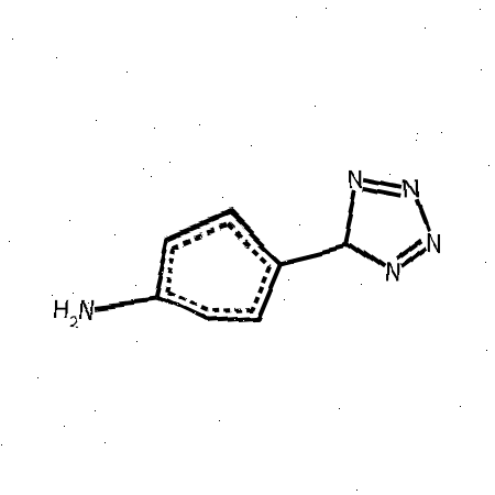 Nc1ccc(C2N=NN=N2)cc1